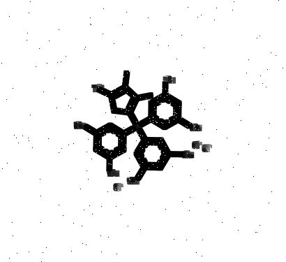 CC1=[C]([Ti+3])CC([Si](c2cc(C(C)(C)C)cc(C(C)(C)C)c2)(c2cc(C(C)(C)C)cc(C(C)(C)C)c2)c2cc(C(C)(C)C)cc(C(C)(C)C)c2)=C1C.[Cl-].[Cl-].[Cl-]